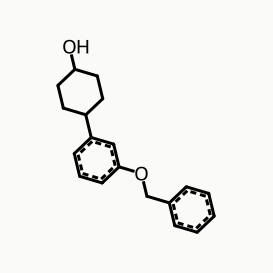 OC1CCC(c2cccc(OCc3ccccc3)c2)CC1